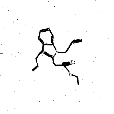 C=CCc1c(CC(=O)OCC)n(CC=C)c2ccccc12